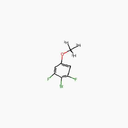 [2H]C([2H])([2H])Oc1cc(F)c(Br)c(F)c1